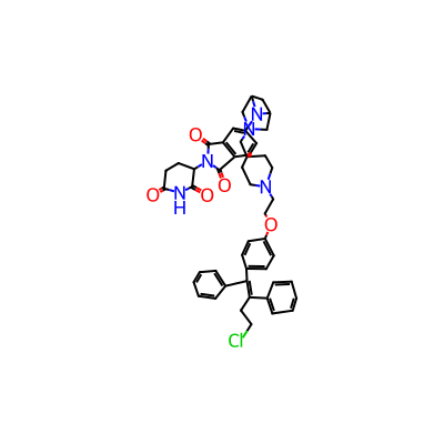 O=C1CCC(N2C(=O)c3ccc(N4C5CC4CN(CC4CCN(CCOc6ccc(C(=C(CCCl)c7ccccc7)c7ccccc7)cc6)CC4)C5)cc3C2=O)C(=O)N1